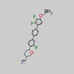 BCOc1ccc(-c2ccc(-c3ccc(C4CCC(/C=C/C)CO4)c(F)c3)cc2)c(F)c1F